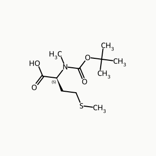 CSCC[C@@H](C(=O)O)N(C)C(=O)OC(C)(C)C